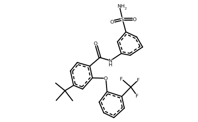 CC(C)(C)c1ccc(C(=O)Nc2cccc(S(N)(=O)=O)c2)c(Oc2ccccc2C(F)(F)F)c1